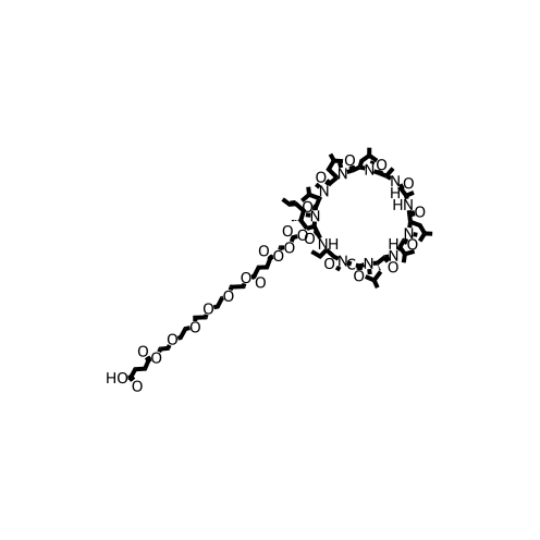 C/C=C/C[C@@H](C)C(OC(=O)OCOC(=O)CCC(=O)OCCOCCOCCOCCOCCOC(=O)CCC(=O)O)C1C(=O)NC(CC)C(=O)N(C)CC(=O)N(C)[C@@H](CC(C)C)C(=O)NC(C(C)C)C(=O)N(C)C(CC(C)C)C(=O)NC(C)C(=O)NC(C)C(=O)N(C)C(CC(C)C)C(=O)N(C)C(CC(C)C)C(=O)N(C)C(C(C)C)C(=O)N1C